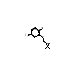 CC(C)c1ccc(F)c(OCC2CC2(C)C)c1